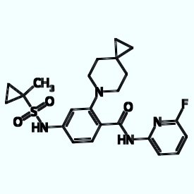 CC1(S(=O)(=O)Nc2ccc(C(=O)Nc3cccc(F)n3)c(N3CCC4(CC3)CC4)c2)CC1